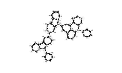 c1ccc(N2c3cncnc3-c3cc(-n4c5ccccc5c5ccc(-c6ccc7c(c6)c6ccccc6n7-c6ccccc6)cc54)cc4cccc2c34)cc1